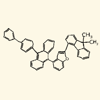 CC1(C)c2ccccc2-c2c(-c3cc4c(-c5c6ccccc6c(-c6ccc(-c7ccccc7)cc6)c6ccccc56)cccc4o3)cccc21